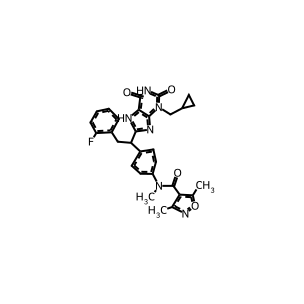 Cc1noc(C)c1C(=O)N(C)c1ccc(C(Cc2ccccc2F)c2nc3c([nH]2)c(=O)[nH]c(=O)n3CC2CC2)cc1